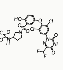 CS(=O)(=O)NC1CCN(S(=O)(=O)c2cc(Oc3c(Cl)cc(-n4nc(C(F)F)c(=O)[nH]c4=O)cc3Cl)ccc2O)C1